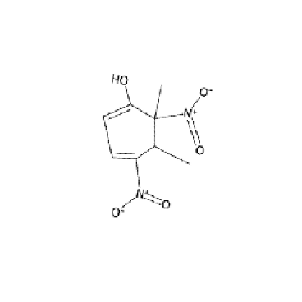 CC1C([N+](=O)[O-])=CC=C(O)C1(C)[N+](=O)[O-]